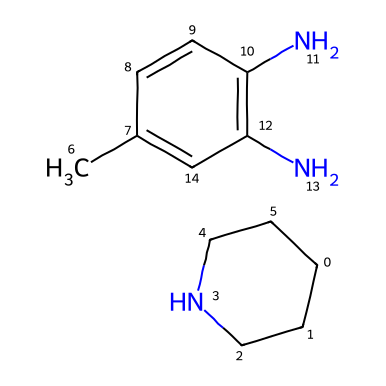 C1CCNCC1.Cc1ccc(N)c(N)c1